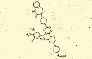 CCOC(=O)C1CCN(C2CCN(C(=O)[C@@H](Cc3cc(Cl)c(N)c(C(F)(F)F)c3)OC(=O)N3CCC(N4CCc5ccccc5NC4=O)CC3)C(OC)C2)CC1